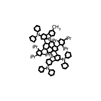 Cc1ccc2c(c1)-c1cc(N(c3ccccc3)c3ccccc3)cc3c1B2c1cc2c(-c4c(C(C)C)cc(C(C)C)cc4C(C)C)cc4c5c(cc6c(-c7c(C(C)C)cc(C(C)C)cc7C(C)C)cc-3c1c6c25)B1c2ccc(N(c3ccccc3)c3ccccc3)cc2-c2cc(N(c3ccccc3)c3ccccc3)cc-4c21